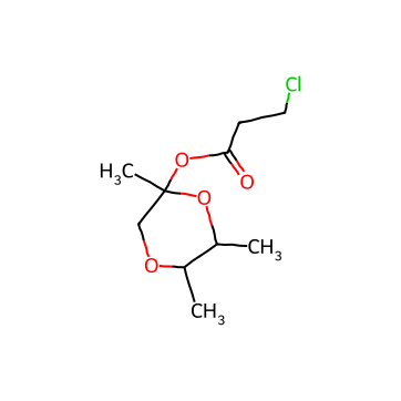 CC1OCC(C)(OC(=O)CCCl)OC1C